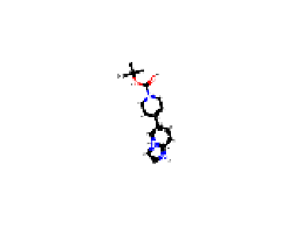 CCC(C)(C)OC(=O)N1CC=C(c2ccc3nccn3c2)CC1